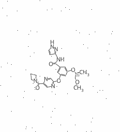 COC[C@H](C)Oc1cc(Oc2cnc(C(=O)N3CCC3)cn2)cc(C(=O)Nc2cc[nH]n2)c1